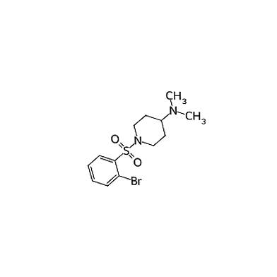 CN(C)C1CCN(S(=O)(=O)c2ccccc2Br)CC1